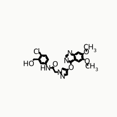 COc1cc2ncnc(Oc3cnn(CC(=O)Nc4ccc(Cl)c(CO)c4)c3)c2cc1OC